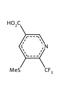 CSc1cc(C(=O)O)cnc1C(F)(F)F